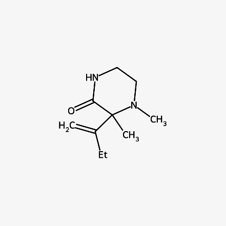 C=C(CC)C1(C)C(=O)NCCN1C